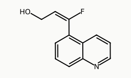 OC/C=C(/F)c1cccc2ncccc12